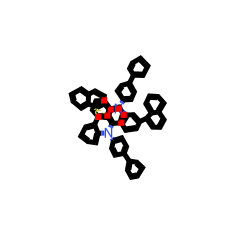 c1ccc(-c2ccc(N(c3cccc(-c4ccccc4N(c4ccc(-c5ccccc5)cc4)c4cccc5c4sc4c6ccccc6ccc54)c3)c3cccc(-c4cccc5ccccc45)c3)cc2)cc1